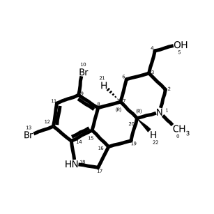 CN1CC(CO)C[C@@H]2c3c(Br)cc(Br)c4c3C(CN4)C[C@H]21